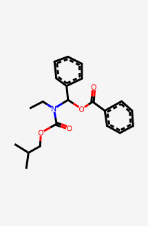 CCN(C(=O)OCC(C)C)C(OC(=O)c1ccccc1)c1ccccc1